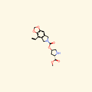 C=Cc1c2c(cc3c1OCO3)CN(C(=O)O[C@H]1CN[C@H](C(=O)OC)C1)C2